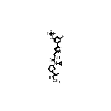 CNC(=O)N1CCC[C@@H](N(C(=O)NCc2cc(-c3cc(F)cc(OC(F)(F)F)c3)on2)C2CC2)C1